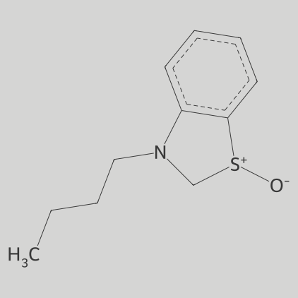 CCCCN1C[S+]([O-])c2ccccc21